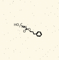 O=C(O)N=NC(=O)OCCCc1ccccc1